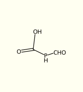 O=CPC(=O)O